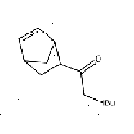 CCC(C)CC(=O)C1CC2C=CC1C2